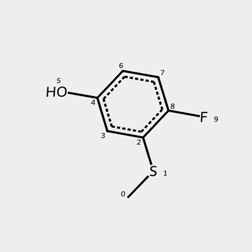 CSc1cc(O)ccc1F